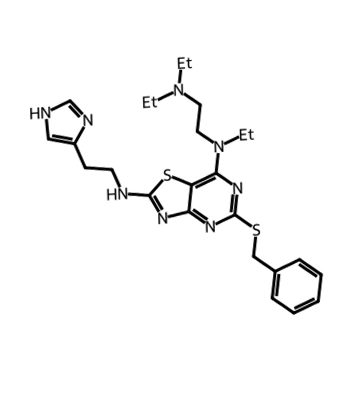 CCN(CC)CCN(CC)c1nc(SCc2ccccc2)nc2nc(NCCc3c[nH]cn3)sc12